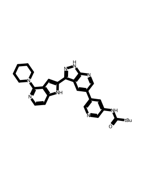 CC(C)(C)C(=O)Nc1cncc(-c2cnc3[nH]nc(-c4cc5c(N6CCCCC6)nccc5[nH]4)c3c2)c1